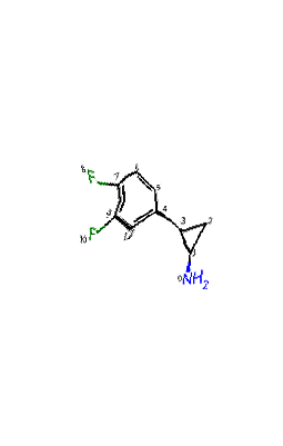 N[C@@H]1C[C@@H]1c1ccc(F)c(F)c1